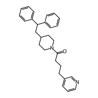 O=C(CCCc1cccnc1)N1CCC(CC(c2ccccc2)c2ccccc2)CC1